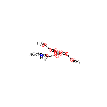 C=CC(=O)OCCCCCCOc1ccc(C(=O)Oc2ccc(OC(=O)c3ccc(OCCCCCCOC(=O)C=C)cc3)c(C(=O)OCCCCCCCC(C)Oc3ccc(-c4ccc(CCCCCCCC)cn4)cc3)c2)cc1